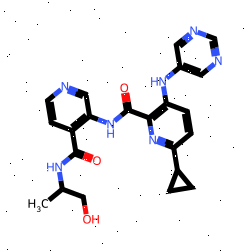 CC(CO)NC(=O)c1ccncc1NC(=O)c1nc(C2CC2)ccc1Nc1cncnc1